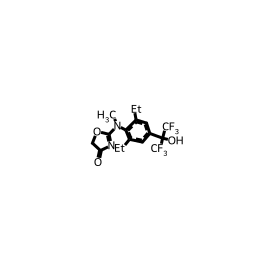 CCc1cc(C(O)(C(F)(F)F)C(F)(F)F)cc(CC)c1N(C)C1=NC(=O)CO1